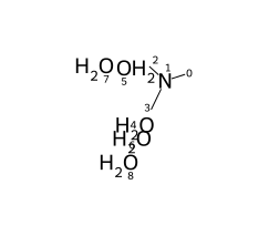 CN(C)C.O.O.O.O.O